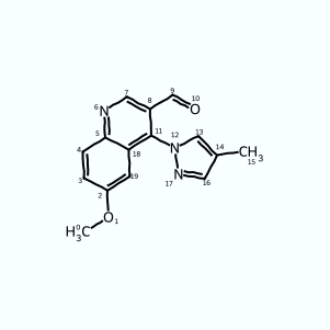 COc1ccc2ncc(C=O)c(-n3cc(C)cn3)c2c1